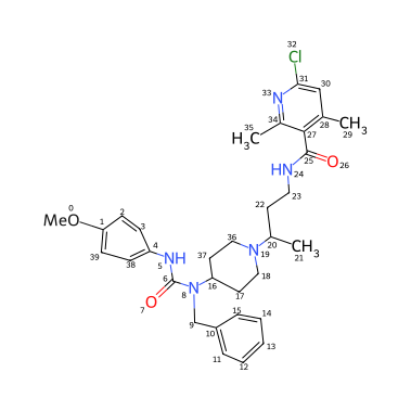 COc1ccc(NC(=O)N(Cc2ccccc2)C2CCN(C(C)CCNC(=O)c3c(C)cc(Cl)nc3C)CC2)cc1